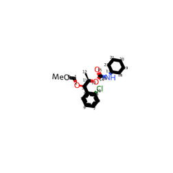 COCO[C@H](c1ccccc1Cl)[C@@H](C)OC(=O)NC1CCCCC1